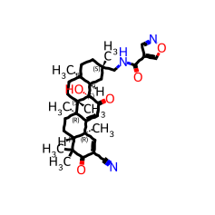 CC1(C)C(=O)C(C#N)=C[C@]2(C)C3=CC(=O)[C@]4(O)[C@@H]5C[C@@](C)(CNC(=O)c6cnoc6)CC[C@]5(C)CC[C@@]4(C)[C@]3(C)CC[C@@H]12